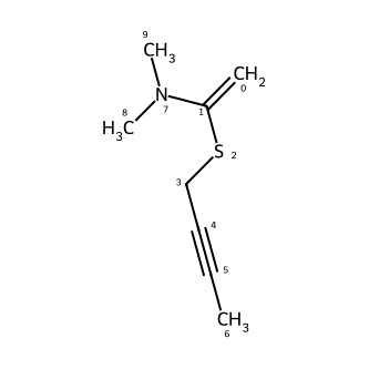 C=C(SCC#CC)N(C)C